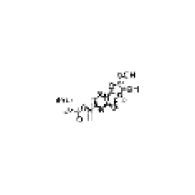 CC(C)CC(C)C(=O)ONc1ccn([C@@H]2OC(CO)[C@H](O)C2(C)F)c(=O)n1